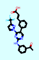 CC(=O)c1cccc(Nc2ncc(-c3cccc(/C=C/C(=O)O)c3)c(-n3ccc(C(F)(F)F)n3)n2)c1